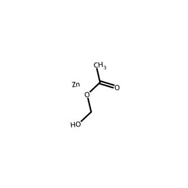 CC(=O)OCO.[Zn]